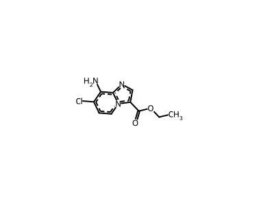 CCOC(=O)c1cnc2c(N)c(Cl)ccn12